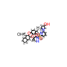 Cc1ccc(OC2CCC3CCCCC3C2C=O)c(OC2(C(=O)NS(=O)(=O)c3cccc(N4CC[C@H](O)C4)n3)CC2)c1